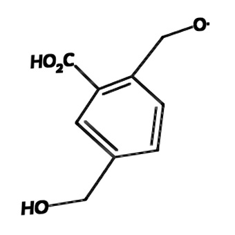 [O]Cc1ccc(CO)cc1C(=O)O